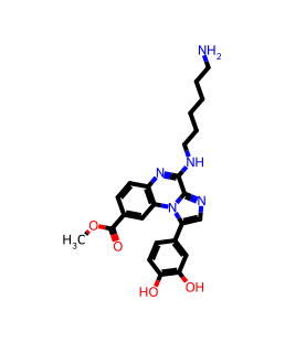 COC(=O)c1ccc2nc(NCCCCCCN)c3ncc(-c4ccc(O)c(O)c4)n3c2c1